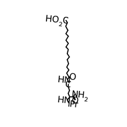 CC(C)NC(CCCCNC(=O)CCCCCCCCCCCCCCCCC(=O)O)C(N)=O